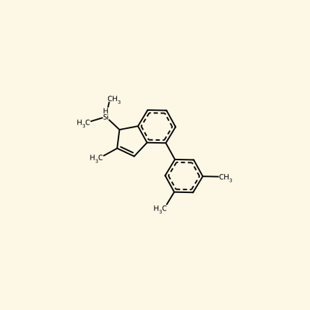 CC1=Cc2c(-c3cc(C)cc(C)c3)cccc2C1[SiH](C)C